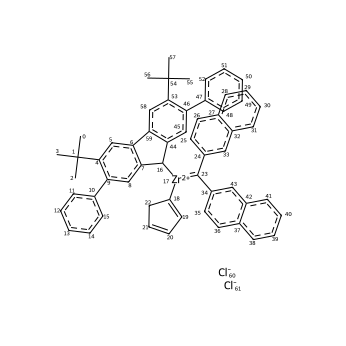 CC(C)(C)c1cc2c(cc1-c1ccccc1)[CH]([Zr+2]([C]1=CC=CC1)=[C](c1ccc3ccccc3c1)c1ccc3ccccc3c1)c1cc(-c3ccccc3)c(C(C)(C)C)cc1-2.[Cl-].[Cl-]